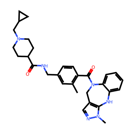 Cc1cc(CNC(=O)C2CCN(CC3CC3)CC2)ccc1C(=O)N1Cc2cnn(C)c2Nc2ccccc21